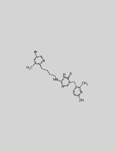 Cc1cc(Br)cnc1CCCCNc1ncc(Cc2ccc(O)nc2C)c(=O)[nH]1